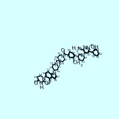 Cc1cc(C(=O)N2CCC(F)(CN3CCC(n4ccc5c(F)c(N6CCC(=O)NC6=O)ccc54)CC3)CC2)ccc1[C@H]1CCCN(c2cc(-c3ccccc3O)nnc2N)C1